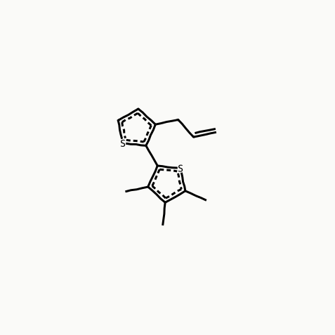 C=CCc1ccsc1-c1sc(C)c(C)c1C